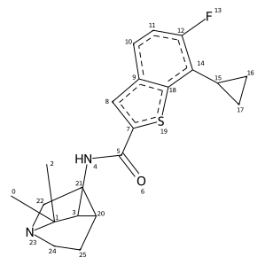 CC1(C)C(NC(=O)c2cc3ccc(F)c(C4CC4)c3s2)C2CCN1CC2